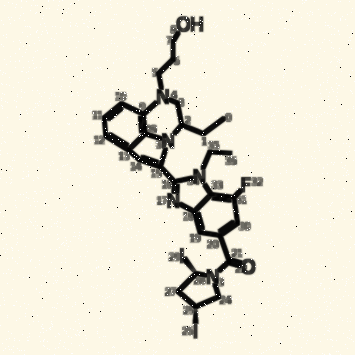 CCC1CN(CCCO)c2cccc3cc(-c4nc5cc(C(=O)N6C[C@@H](I)C[C@H]6I)cc(F)c5n4CC)n1c23